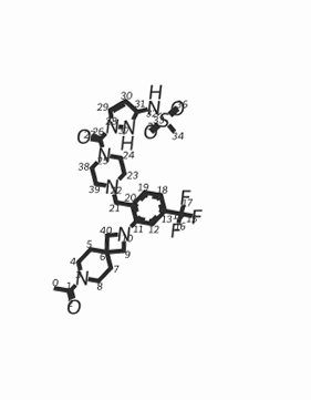 CC(=O)N1CCC2(CC1)CN(c1cc(C(F)(F)F)ccc1CN1CCN(C(=O)N3C=CC(NS(C)(=O)=O)N3)CC1)C2